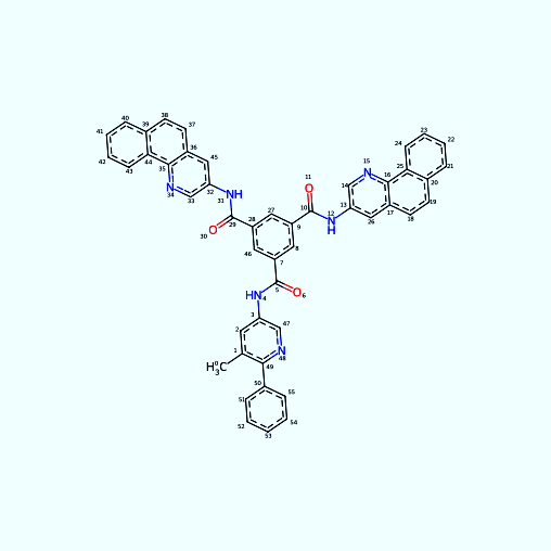 Cc1cc(NC(=O)c2cc(C(=O)Nc3cnc4c(ccc5ccccc54)c3)cc(C(=O)Nc3cnc4c(ccc5ccccc54)c3)c2)cnc1-c1ccccc1